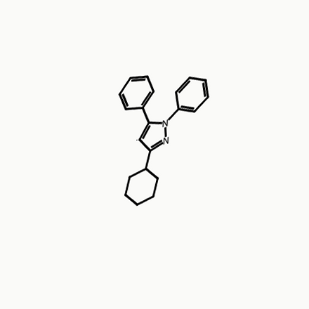 [c]1c(C2CCCCC2)nn(-c2ccccc2)c1-c1ccccc1